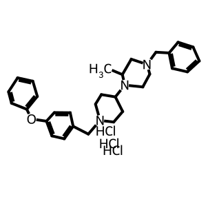 CC1CN(Cc2ccccc2)CCN1C1CCN(Cc2ccc(Oc3ccccc3)cc2)CC1.Cl.Cl.Cl